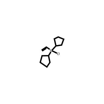 C=C[Si](Cl)(C1CCCC1)C1CCCC1